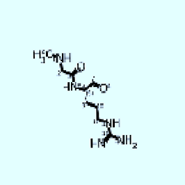 CNCC(=O)N[C@H]([C]=O)CCCNC(=N)N